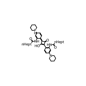 CCCCCCCC(=O)NC1=CC(=[PH]2CCCCC2)C=C/C1=C1\C(=O)C(c2ccc(N3CCCCC3)cc2NC(=O)CCCCCCC)=C1O